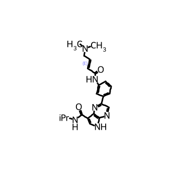 CC(C)NC(=O)c1c[nH]c2ncc(-c3cccc(NC(=O)/C=C/CN(C)C)c3)nc12